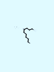 CO[C@@H](CCCCCC(C)C)CCCC(C)(C)C